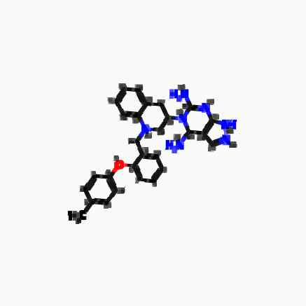 Cc1ccc(Oc2ccccc2CN2CC(N3C(N)=Nc4[nH]ncc4C3N)Cc3ccccc32)cc1